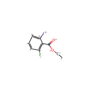 CCOC(=O)c1c(F)cccc1I